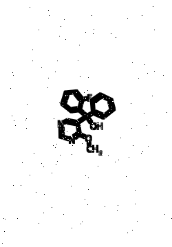 COc1ncncc1C(O)(c1ccccc1)c1ccccc1F